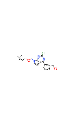 C[Si](C)(C)CCOCn1ccc2c(-c3cccc(C=O)c3)nc(Cl)nc21